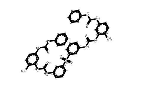 Cc1ccc(NC(=O)Nc2ccccc2)cc1NC(=O)Nc1cccc(S(=O)(=O)c2cccc(NC(=O)Nc3cc(NC(=O)Oc4ccccc4)ccc3C)c2)c1